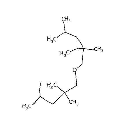 CC(C)CC(C)(C)COCC(C)(C)CC(C)I